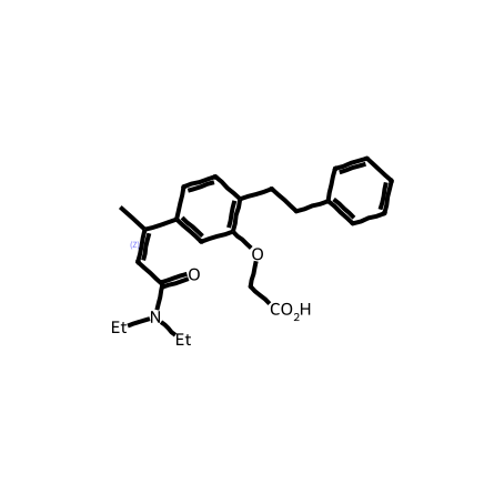 CCN(CC)C(=O)/C=C(/C)c1ccc(CCc2ccccc2)c(OCC(=O)O)c1